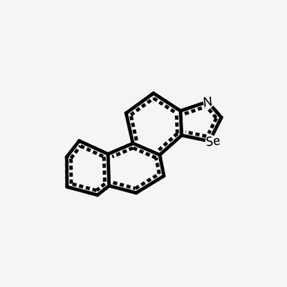 c1ccc2c(c1)ccc1c2ccc2nc[se]c21